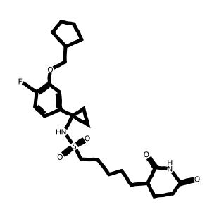 O=C1CCC(CCCCCS(=O)(=O)NC2(c3ccc(F)c(OCC4CCCC4)c3)CC2)C(=O)N1